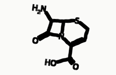 NC1C(=O)N2C(C(=O)O)=CCSC12